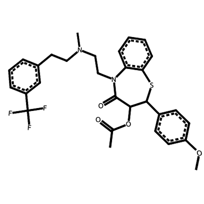 COc1ccc(C2Sc3ccccc3N(CCN(C)CCc3cccc(C(F)(F)F)c3)C(=O)C2OC(C)=O)cc1